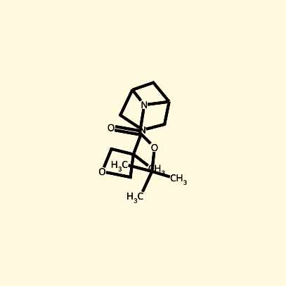 CC(C)(C)OC(=O)N1C2CC1CN(C1(C)COC1)C2